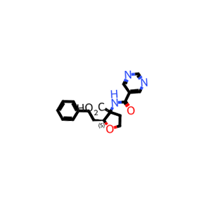 O=C(NC1(C(=O)O)CCO[C@H]1CCc1ccccc1)c1cncnc1